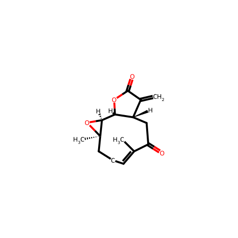 C=C1C(=O)O[C@H]2[C@H]1CC(=O)/C(C)=C/CC[C@@]1(C)O[C@@H]21